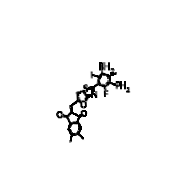 Bc1c(C)c(P)c(F)c(-c2nc3oc(C=C4C(=O)c5cc(C)c(C)cc5C4=O)cc3s2)c1I